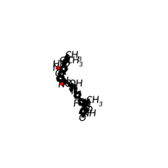 CCN(C)S(=O)(=O)Nc1ccc(F)c(Oc2ccc3ncc(OCC4(O)CCN(C5CCC(c6cc7c(cc6F)c(N6CCC(=O)NC6=O)nn7C)CC5)CC4)nc3c2)c1C#N